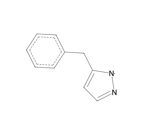 C1=N[N]C(Cc2ccccc2)=C1